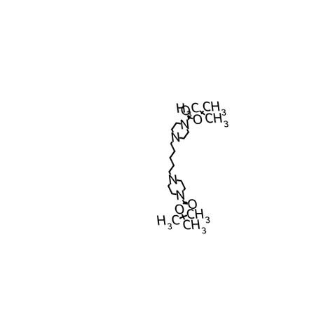 CC(C)(C)OC(=O)N1CCN(CCCCCN2CCN(C(=O)OC(C)(C)C)CC2)CC1